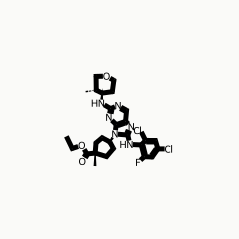 CCOC(=O)[C@]1(C)CC[C@@H](n2c(Nc3c(F)cc(Cl)cc3Cl)nc3cnc(N[C@@H]4CCOC[C@H]4C)nc32)CC1